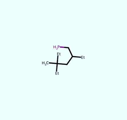 CCC(CP)CC(C)(CC)CC